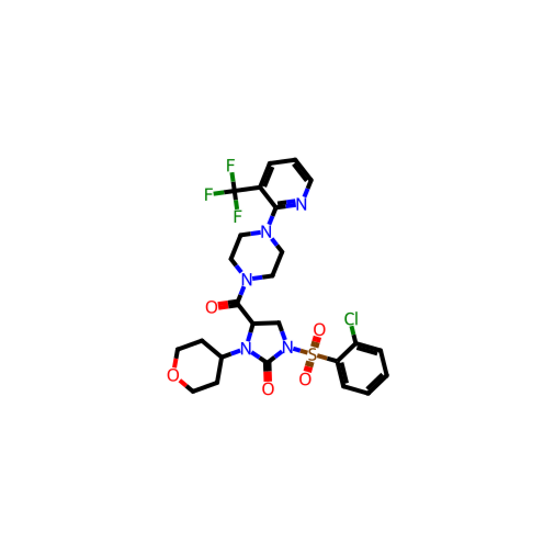 O=C(C1CN(S(=O)(=O)c2ccccc2Cl)C(=O)N1C1CCOCC1)N1CCN(c2ncccc2C(F)(F)F)CC1